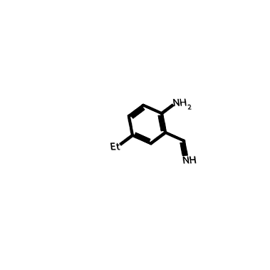 CCc1ccc(N)c(C=N)c1